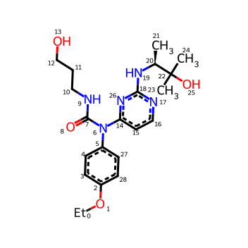 CCOc1ccc(N(C(=O)NCCCO)c2ccnc(N[C@@H](C)C(C)(C)O)n2)cc1